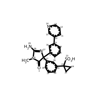 CN1C(=O)C(c2cccc(-c3cccnc3)c2)(c2cccc(C3(S(=O)(=O)O)CC3)c2)N=C1N